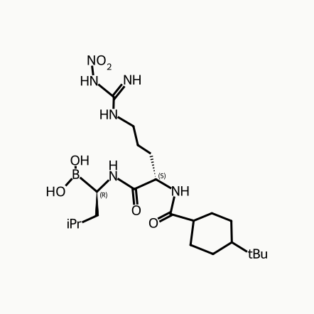 CC(C)C[C@H](NC(=O)[C@H](CCCNC(=N)N[N+](=O)[O-])NC(=O)C1CCC(C(C)(C)C)CC1)B(O)O